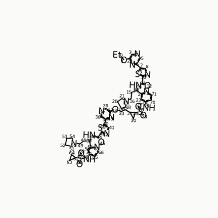 CCOc1cncc(-c2cnc(C(=O)N[C@H](CCN3CCCC3)c3cc(NS(=O)(=O)C4CC4CCOc4cncc(-c5cnc(C(=O)N[C@@H](CCN6CCCC6)c6cc(NS(=O)(=O)C7CC7)ccn6)s5)n4)ccn3)s2)n1